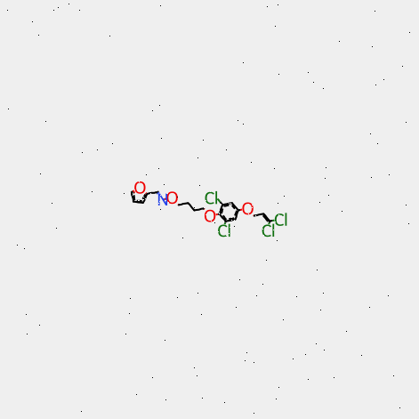 ClC(Cl)=CCOc1cc(Cl)c(OCCCCON=Cc2ccco2)c(Cl)c1